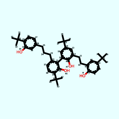 CC(C)(C)c1ccc(O)c(CCc2cc(C(C)(C)C)cc(-c3c(CCCc4ccc(C(C)(C)C)c(O)c4)ccc(C(C)(C)C)c3O)c2O)c1